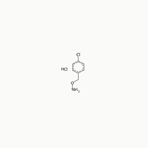 Cl.NOCc1ccc(Cl)cc1